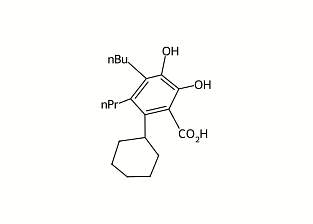 CCCCc1c(O)c(O)c(C(=O)O)c(C2CCCCC2)c1CCC